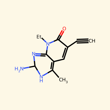 C#Cc1cc2c(n(CC)c1=O)=NC(N)NC=2C